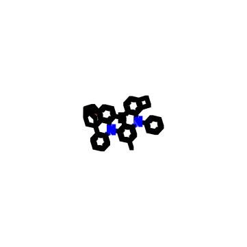 Cc1cc2c3c(c1)N(c1ccccc1)c1c(ccc4c1CC4)B3c1ccccc1N2c1ccccc1C12CC3CC(C1)C(C3)C2